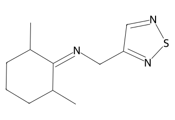 CC1CCCC(C)C1=NCc1cnsn1